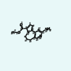 CC(C)OC(=O)c1ccc2n1CCCc1cnc(N)nc1-2